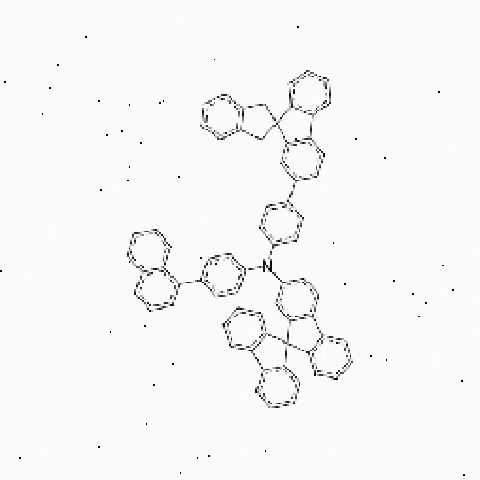 c1ccc2c(c1)CC1(C2)c2ccccc2-c2ccc(-c3ccc(N(c4ccc(-c5cccc6ccccc56)cc4)c4ccc5c(c4)C4(c6ccccc6-c6ccccc64)c4ccccc4-5)cc3)cc21